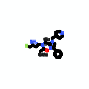 COCC(=O)N(CCC(N)CF)[C@@H](c1nc(-c2ccccc2)cn1Cc1ccncc1)C(C)(C)C